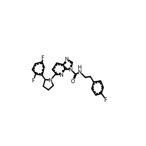 O=C(NCCc1ccc(F)cc1)n1cnc2ccc(N3CCCC3c3cc(F)ccc3F)nc21